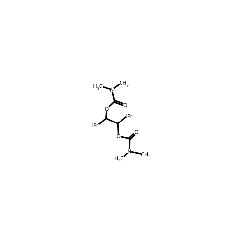 CC(C)C(OC(=O)N(C)C)C(OC(=O)N(C)C)C(C)C